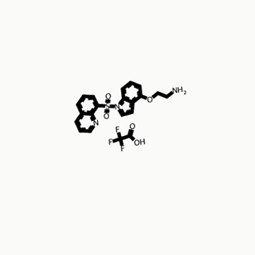 NCCOc1cccc2c1ccn2S(=O)(=O)c1cccc2cccnc12.O=C(O)C(F)(F)F